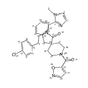 Cn1ccnc1CN(CCc1ccc(Cl)cc1)C(=O)C1(Cc2ccccc2)CCN(C(=O)c2ccno2)CC1